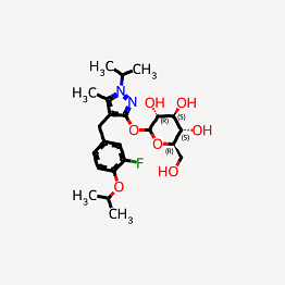 Cc1c(Cc2ccc(OC(C)C)c(F)c2)c(OC2O[C@H](CO)[C@@H](O)[C@H](O)[C@H]2O)nn1C(C)C